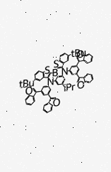 CC(C)c1cc2c3c(c1)N(c1cc(-c4coc5ccccc45)cc(-c4coc5ccccc45)c1)c1c(sc4ccc(C(C)(C)C)cc14)B3c1sc3ccc(C(C)(C)C)cc3c1N2c1cc(-c2coc3ccccc23)cc(-c2coc3ccccc23)c1